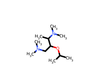 CC(C)OC(CN(C)C)C(C)N(C)C